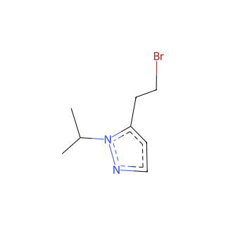 CC(C)n1nccc1CCBr